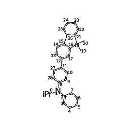 CC(C)N(c1ccccc1)c1ccc(-c2ccc3c(c2)C(C)(C)c2ccccc2-3)cc1